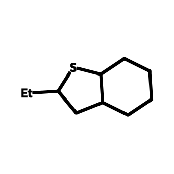 CCC1CC2CCCCC2S1